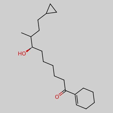 CC(CCC1CC1)[C@H](O)CCCCCC(=O)C1=CCCCC1